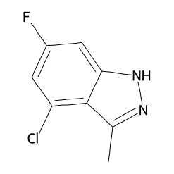 Cc1n[nH]c2cc(F)cc(Cl)c12